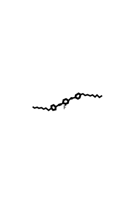 CCCCCCCCCc1ccc(C#Cc2ccc(C#Cc3ccc(CCCCCCCC)cc3)c(F)c2)cc1